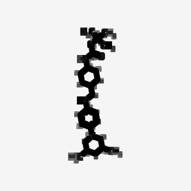 CC1CC(C)CN(c2ccc(NCC3CCC(NC(=O)OC(C)(C)C)CC3)cc2)C1